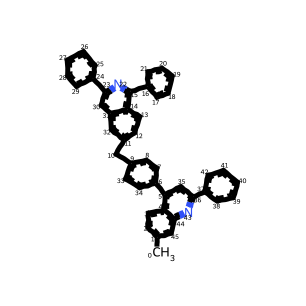 Cc1ccc2c(-c3ccc(Cc4ccc5c(-c6ccccc6)nc(-c6ccccc6)cc5c4)cc3)cc(-c3ccccc3)nc2c1